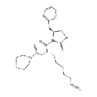 C=CCCCCC[C@H](CC(=O)N1CCCCC1)C(=O)N1C(=O)OC[C@@H]1Cc1ccccc1